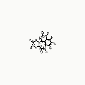 Cc1c(F)c2c3c(nc(=O)n(C)c3c1F)N1CC(C)N(C)CC1C(=O)N2C